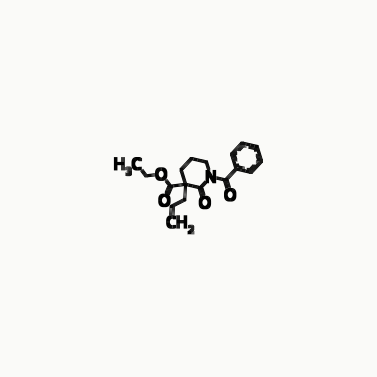 C=CCC1(C(=O)OCC)CCCN(C(=O)c2ccccc2)C1=O